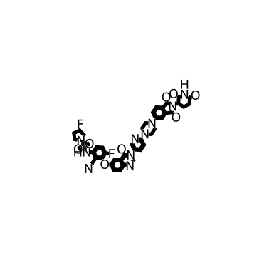 N#Cc1c(NS(=O)(=O)N2CC[C@@H](F)C2)ccc(F)c1Oc1ccc2ncn(-c3ccc(N4CCN(c5ccc6c(c5)C(=O)N(C5CCC(=O)NC5=O)C6=O)CC4)nc3)c(=O)c2c1